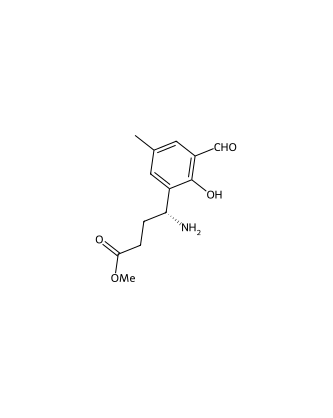 COC(=O)CC[C@@H](N)c1cc(C)cc(C=O)c1O